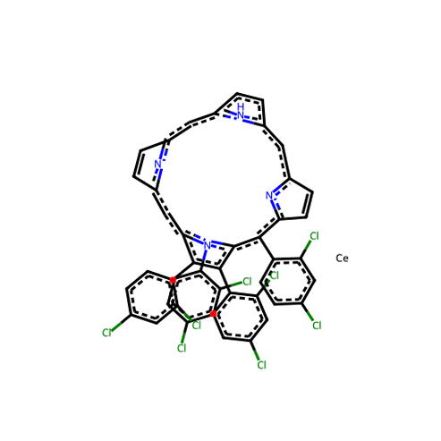 Clc1ccc(-c2c(-c3ccc(Cl)cc3Cl)c3c(-c4ccc(Cl)cc4Cl)c4nc(cc5ccc(cc6nc(cc2n3-c2ccc(Cl)cc2Cl)C=C6)[nH]5)C=C4)c(Cl)c1.[Ce]